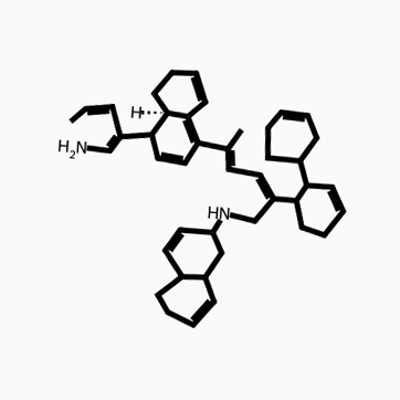 C/C=C\C(=C/N)C1C=CC(/C(C)=C/C=C(\CNC2C=CC3CCC=CC3C2)C2CCC=CC2C2CC=CCC2)=C2C=CCC[C@@H]21